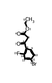 CCOC(=O)CC(=O)c1ccc(Br)cc1F